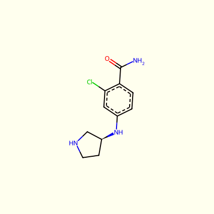 NC(=O)c1ccc(N[C@H]2CCNC2)cc1Cl